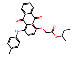 CCC(C)OC(=O)COc1ccc(Nc2ccc(C)cc2)c2c1C(=O)c1ccccc1C2=O